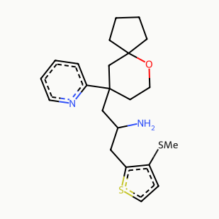 CSc1ccsc1CC(N)CC1(c2ccccn2)CCOC2(CCCC2)C1